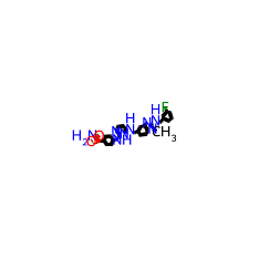 Cn1c(NCc2cccc(F)c2)nc2cc(CNc3ccnc(Nc4ccc(CS(N)(=O)=O)cc4)n3)ccc21